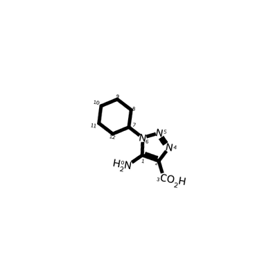 Nc1c(C(=O)O)nnn1C1CCCCC1